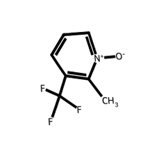 Cc1c(C(F)(F)F)ccc[n+]1[O-]